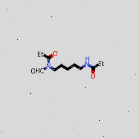 CCC(=O)NCCC[CH]CN(C=O)C(=O)CC